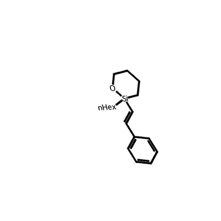 CCCCCC[Si]1(C=Cc2ccccc2)CCCCO1